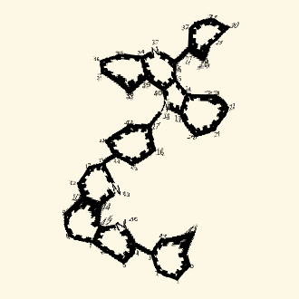 c1ccc(-c2ccc3ccc4ccc(-c5ccc(-n6c7ccccc7c7c(-c8ccccc8)nc8ccccc8c76)cc5)nc4c3n2)cc1